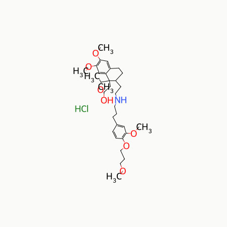 COCCCOc1ccc(CCCNCCC2CCc3cc(OC)c(OC)cc3C2(CC(=O)O)C(C)C)cc1OC.Cl